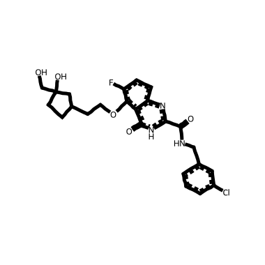 O=C(NCc1cccc(Cl)c1)c1nc2ccc(F)c(OCCC3CCC(O)(CO)C3)c2c(=O)[nH]1